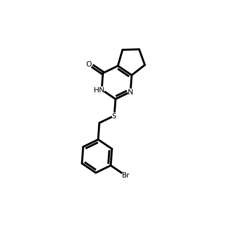 O=c1[nH]c(SCc2cccc(Br)c2)nc2c1CCC2